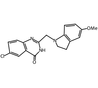 COc1ccc2c(c1)CCN2Cc1nc2ccc(Cl)cc2c(=O)[nH]1